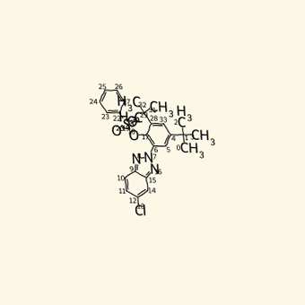 CC(C)(C)c1cc(-n2nc3ccc(Cl)cc3n2)c(OS(=O)(=O)c2ccccc2)c(C(C)(C)C)c1